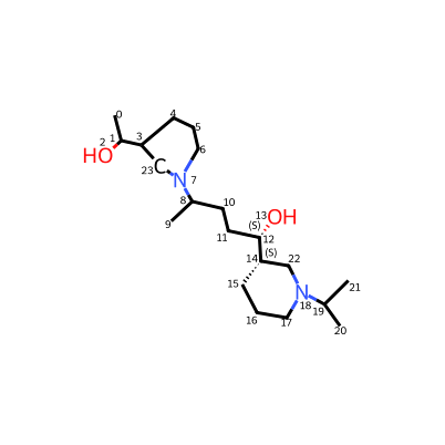 CC(O)C1CCCN(C(C)CC[C@H](O)[C@H]2CCCN(C(C)C)C2)C1